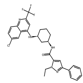 CCn1nc(-c2ccccc2)cc1C(=O)N[C@@H]1CCC[C@H](Nc2cc(C(F)(F)F)nc3ccc(Cl)cc23)C1